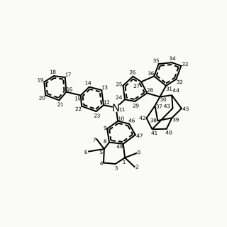 CC1(C)CCC(C)(C)c2cc(N(c3ccc(-c4ccccc4)cc3)c3ccc4c(c3)C3(c5ccccc5-4)C4CC5CC(C4)CC3C5)ccc21